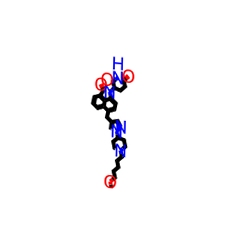 COCCCCCN1CCC(n2cc(Cc3ccc4c5c(cccc35)C(=O)N4C3CCC(=O)NC3=O)cn2)CC1